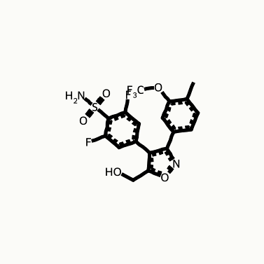 Cc1ccc(-c2noc(CO)c2-c2cc(F)c(S(N)(=O)=O)c(F)c2)cc1OC(F)(F)F